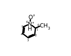 CC1C=CC=[C][NH+]1[O-]